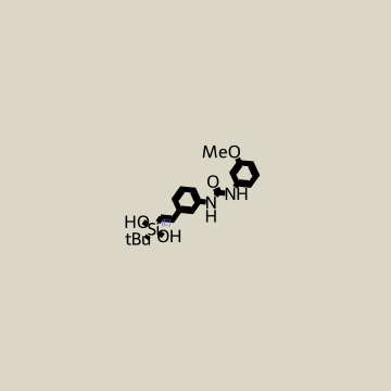 COc1cccc(NC(=O)Nc2cccc(/C=C/[Si](O)(O)C(C)(C)C)c2)c1